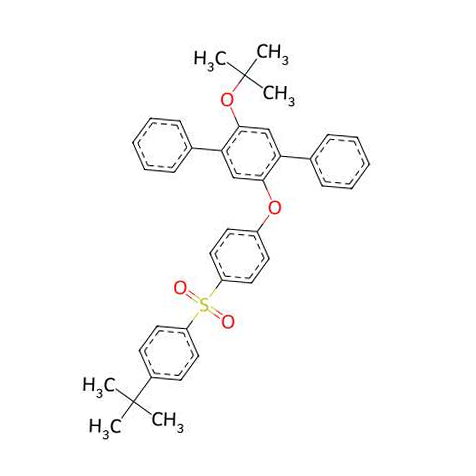 CC(C)(C)Oc1cc(-c2ccccc2)c(Oc2ccc(S(=O)(=O)c3ccc(C(C)(C)C)cc3)cc2)cc1-c1ccccc1